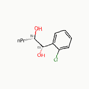 CCC[C@H](O)[C@@H](O)c1ccccc1Cl